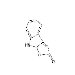 O=C1C=C2c3ccccc3NC2O1